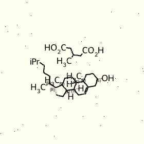 CC(C)CCC[C@@H](C)[C@H]1CC[C@H]2[C@@H]3CC=C4C[C@@H](O)CC[C@]4(C)[C@H]3CC[C@]12C.CC(CC(=O)O)CC(=O)O